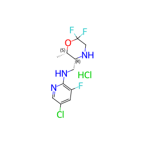 C[C@@H]1OC(F)(F)CN[C@@H]1CNc1ncc(Cl)cc1F.Cl